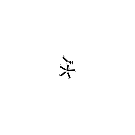 CPP(C)(C)(C)C